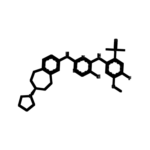 COc1cc(Nc2nc(Nc3ccc4c(c3)CC[C@@H](N3CCCC3)CC4)ncc2Cl)c(P(C)(C)=O)cc1F